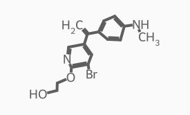 C=C(c1ccc(NC)cc1)c1cnc(OCCO)c(Br)c1